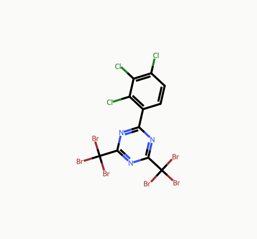 Clc1ccc(-c2nc(C(Br)(Br)Br)nc(C(Br)(Br)Br)n2)c(Cl)c1Cl